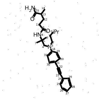 CC(C)CCN(CC(C)(C)NC(=O)[CH]CC(C)C(N)=O)c1ccc(C#Cc2ccccc2)cc1